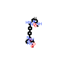 COC(=O)N[C@H](C(=O)N1CCC[C@@]1(C)c1nc(-c2ccc(-c3ccc(-c4c[nH]c([C@@H]5CC[C@@H]6CC[C@H](NC(C)=O)C(=O)N65)n4)cc3)cc2)c[nH]1)C(C)C